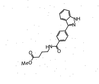 COC(=O)CCCNC(=O)c1ccc(-c2n[nH]c3ccccc23)cc1